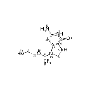 Nc1nc2c(c(=O)[nH]1)NCN2C(OCCO)C(F)(F)F